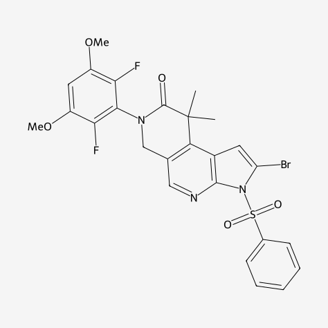 COc1cc(OC)c(F)c(N2Cc3cnc4c(cc(Br)n4S(=O)(=O)c4ccccc4)c3C(C)(C)C2=O)c1F